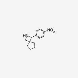 O=[N+]([O-])c1ccc(C2NCC23CCCC3)cc1